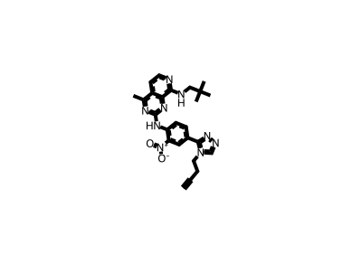 C#CCCn1cnnc1-c1ccc(Nc2nc(C)c3ccnc(NCC(C)(C)C)c3n2)c([N+](=O)[O-])c1